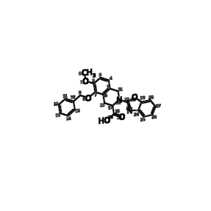 COc1ccc2c(c1OCc1ccccc1)CC(C(=O)O)N(c1nc3ccccc3o1)C2